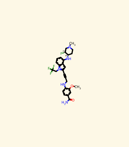 COc1cc(C(N)=O)ccc1NCC#Cc1cc2c(N[C@@H]3CCN(C)C[C@@H]3F)cccc2n1CC(F)(F)F